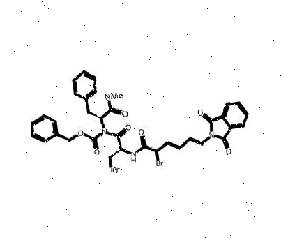 CNC(=O)[C@H](Cc1ccccc1)N(C(=O)OCc1ccccc1)C(=O)[C@H](CC(C)C)NC(=O)C(Br)CCCCN1C(=O)c2ccccc2C1=O